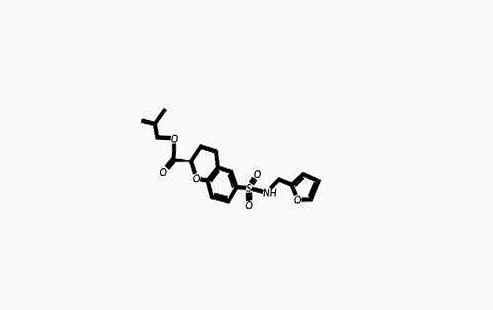 CC(C)COC(=O)[C@H]1CCc2cc(S(=O)(=O)NCc3ccco3)ccc2O1